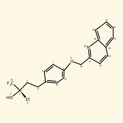 CC[C@](O)(CCc1ccc(OCc2ccc3ccccc3n2)cc1)C(F)(F)F